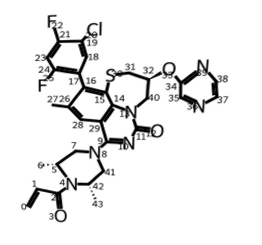 C=CC(=O)N1[C@H](C)CN(c2nc(=O)n3c4c(c(-c5cc(Cl)c(F)cc5F)c(C)cc24)SC[C@@H](Oc2cnccn2)C3)C[C@@H]1C